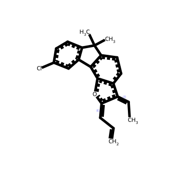 C=C/C=c1/oc2c3c(ccc2/c1=C/C)C(C)(C)c1ccc(Cl)cc1-3